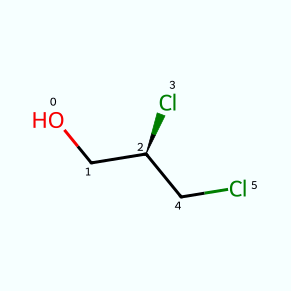 OC[C@@H](Cl)CCl